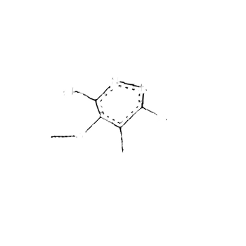 COc1c(Cl)nnc(Cl)c1C